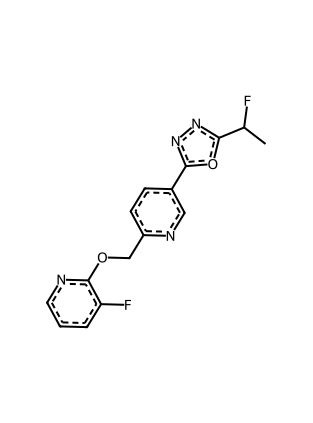 CC(F)c1nnc(-c2ccc(COc3ncccc3F)nc2)o1